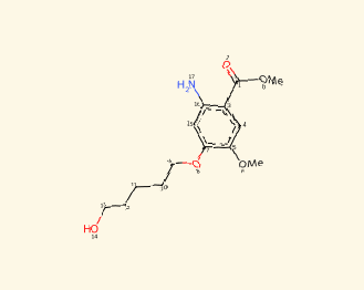 COC(=O)c1cc(OC)c(OCCCCCO)cc1N